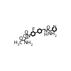 CC(=O)[C@@H](N)C1CN(c2ccc(-c3ccc(CNC(=O)C(N)c4cccnc4)cc3)c(F)c2)C(=O)O1